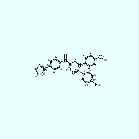 COc1ccc(N(CC(=O)Nc2ccc(-n3nccn3)cc2)C(=O)c2ccc(F)cc2)cc1